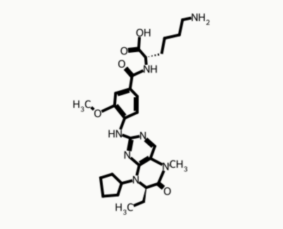 CC[C@@H]1C(=O)N(C)c2cnc(Nc3ccc(C(=O)N[C@@H](CCCCN)C(=O)O)cc3OC)nc2N1C1CCCC1